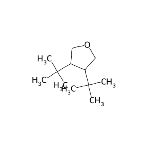 CC(C)(C)C1COCC1C(C)(C)C